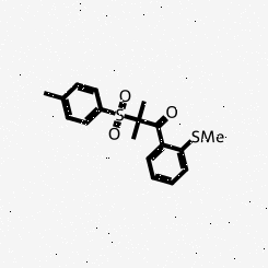 CSc1ccccc1C(=O)C(C)(C)S(=O)(=O)c1ccc(C)cc1